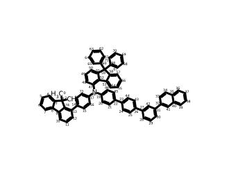 CC1(C)c2ccccc2-c2cccc(-c3ccc(N(c4ccc(-c5ccc(-c6cccc(-c7ccc8ccccc8c7)c6)cc5)cc4)c4cccc5c4-c4ccccc4C5(c4ccccc4)c4ccccc4)cc3)c21